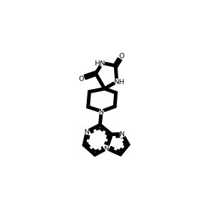 O=C1NC(=O)C2(CCN(c3nccn4ccnc34)CC2)N1